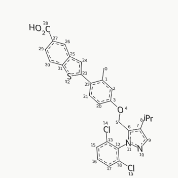 Cc1cc(OCc2c(C(C)C)cnn2-c2c(Cl)cccc2Cl)ccc1-c1cc2cc(C(=O)O)ccc2s1